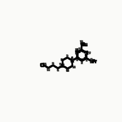 CCCc1cc(N2CCN(CCCCl)CC2)nc(C(C)(C)C)n1